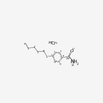 CCCCCCc1ccc(C(N)=O)cc1.Cl